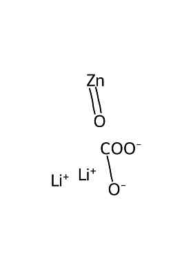 O=C([O-])[O-].[Li+].[Li+].[O]=[Zn]